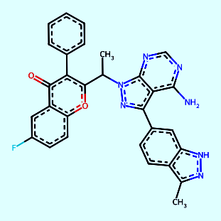 Cc1n[nH]c2cc(-c3nn(C(C)c4oc5ccc(F)cc5c(=O)c4-c4ccccc4)c4ncnc(N)c34)ccc12